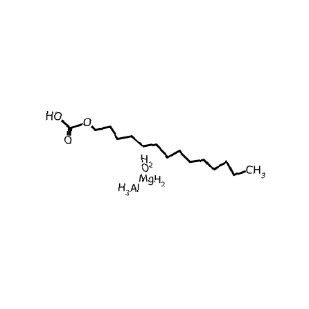 CCCCCCCCCCCCCCOC(=O)O.O.[AlH3].[MgH2]